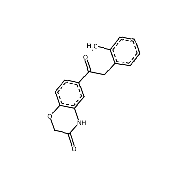 Cc1ccccc1CC(=O)c1ccc2c(c1)NC(=O)CO2